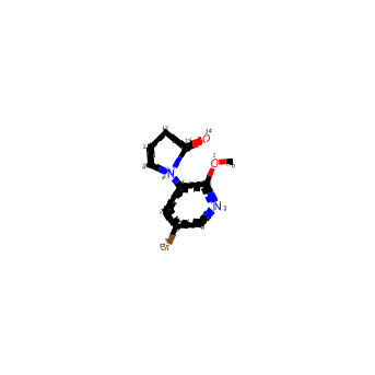 COc1ncc(Br)cc1N1CCCC1=O